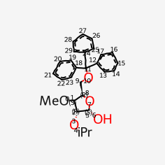 CO[C@@H]1[C@@H](OC(C)C)[C@@H](O)O[C@@H]1COC(c1ccccc1)(c1ccccc1)c1ccccc1